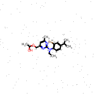 CCN(c1nc(C)cc(COC(C)O)n1)c1ccc(C(C)C)cc1Br